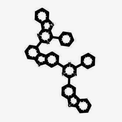 c1ccc(-c2nc(-c3ccc4c(c3)sc3cccc(-c5nc(-c6ccccc6)c6sc7ccccc7c6n5)c34)nc(-c3ccc4oc5ccccc5c4c3)n2)cc1